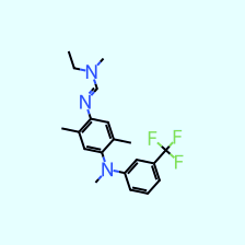 CCN(C)C=Nc1cc(C)c(N(C)c2cccc(C(F)(F)F)c2)cc1C